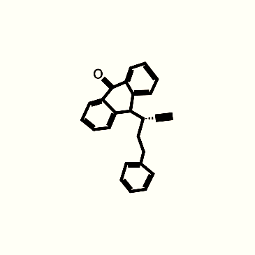 C#C[C@H](CCc1ccccc1)C1c2ccccc2C(=O)c2ccccc21